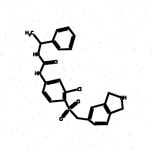 CC(NC(=O)Nc1ccc(S(=O)(=O)Cc2ccc3c(c2)CNC3)c(Cl)c1)c1ccccc1